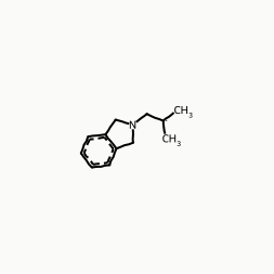 C[C](C)CN1Cc2ccccc2C1